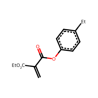 C=C(C(=O)OCC)C(=O)Oc1ccc(CC)cc1